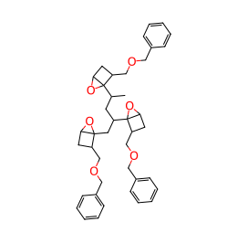 CC(CC(CC12OC1CC2COCc1ccccc1)C12OC1CC2COCc1ccccc1)C12OC1CC2COCc1ccccc1